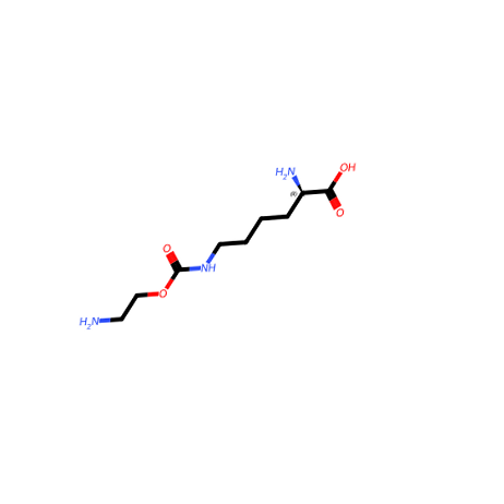 NCCOC(=O)NCCCC[C@@H](N)C(=O)O